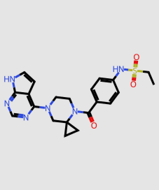 CCS(=O)(=O)Nc1ccc(C(=O)N2CCN(c3ncnc4[nH]ccc34)CC23CC3)cc1